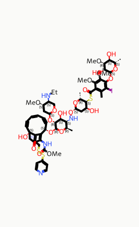 CCN[C@H]1CO[C@@H](O[C@H]2[C@H](O[C@H]3C#CC=CC#C[C@]4(O)CC(=O)C(NC(=O)OC)=C3/C4=C\CSSc3ccncc3)O[C@H](C)[C@@H](NO[C@H]3C[C@H](O)[C@H](SC(=O)c4c(C)c(I)c(O[C@@H]5O[C@@H](C)[C@H](O)[C@@H](OC)[C@H]5O)c(OC)c4OC)[C@@H](C)O3)[C@@H]2O)C[C@@H]1OC